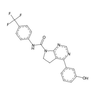 O=C(Nc1ccc(C(F)(F)F)cc1)N1CCc2c(-c3cccc(O)c3)ncnc21